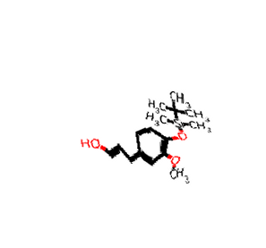 COc1cc(CC=CO)ccc1O[Si](C)(C)C(C)(C)C